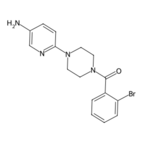 Nc1ccc(N2CCN(C(=O)c3ccccc3Br)CC2)nc1